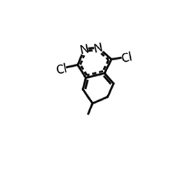 CC1C=c2c(Cl)nnc(Cl)c2=CC1